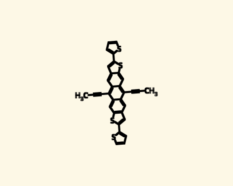 CC#Cc1c2cc3cc(-c4cccs4)sc3cc2c(C#CC)c2cc3cc(-c4cccs4)sc3cc12